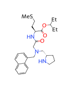 CCC(CC)OC(=O)[C@H](CCSC)NC(=O)CN(Cc1cccc2ccccc12)C[C@@H]1CCCN1